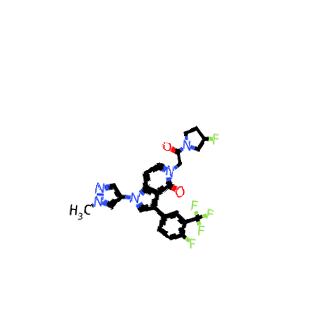 Cn1cc(-n2cc(-c3ccc(F)c(C(F)(F)F)c3)c3c(=O)n(CC(=O)N4CCC(F)C4)ccc32)cn1